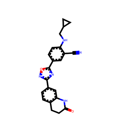 N#Cc1cc(-c2nc(-c3ccc4c(c3)NC(=O)CC4)no2)ccc1NCC1CC1